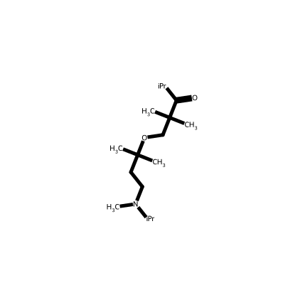 CC(C)C(=O)C(C)(C)COC(C)(C)CCN(C)C(C)C